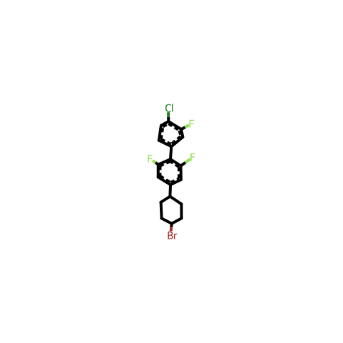 Fc1cc(-c2c(F)cc(C3CCC(Br)CC3)cc2F)ccc1Cl